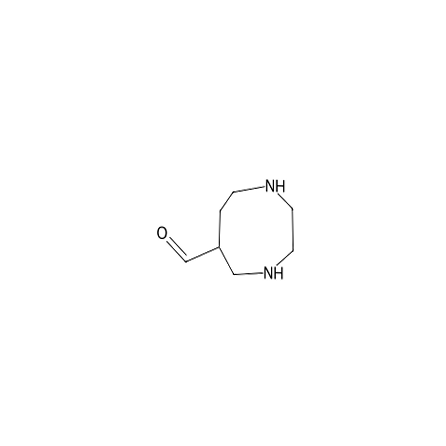 O=CC1CCNCCNC1